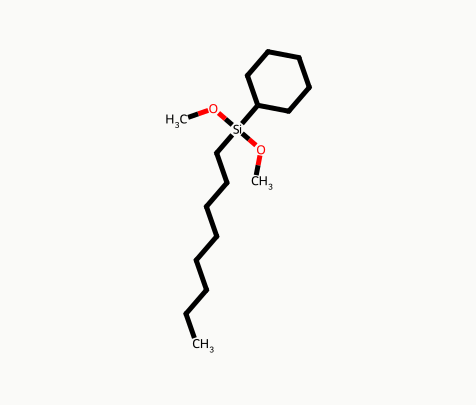 CCCCCCCC[Si](OC)(OC)C1CCCCC1